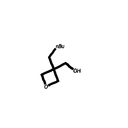 CCCCCC1(CO)COC1